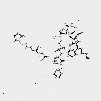 CC[C@]1(OC(=O)N(C)CCNC(=O)CNC(=O)[C@H](Cc2ccccc2)NC(=O)CNC(=O)CNC(=O)CCCCCN2C(=O)C=CC2=O)C(=O)OCc2c1cc1n(c2=O)Cc2c-1nc1ccccc1c2/C=N/OC(C)(C)C